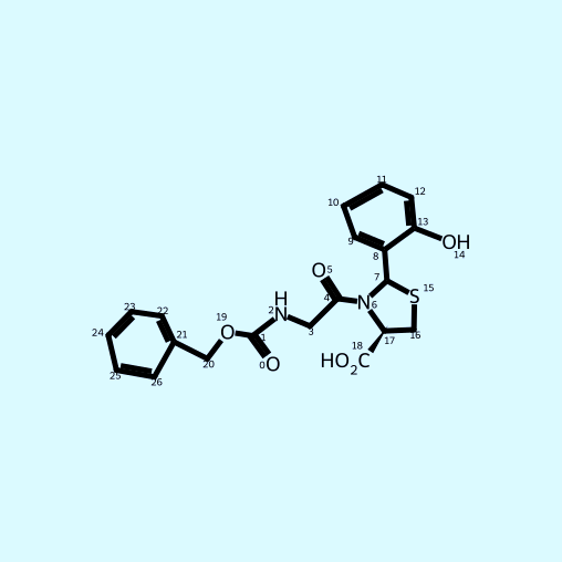 O=C(NCC(=O)N1C(c2ccccc2O)SC[C@H]1C(=O)O)OCc1ccccc1